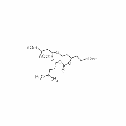 CCCCCCCCCCCCC(CCOC(=O)CC(CCCCCCCC)CCCCCCCC)OC(=O)OCCCN(C)C